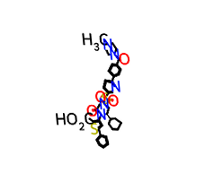 CN1CCN(C(=O)c2ccc(-c3ccc(S(=O)(=O)N4CC(=O)N(c5cc(-c6ccccc6)sc5C(=O)O)[C@H](C5CCCCC5)C4)cn3)cc2)CC1